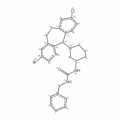 O=C(NCc1cccnc1)NC1CCCN(C2c3ccc(Cl)cc3CCc3cc(Br)cnc32)C1